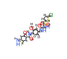 CNc1cc2c(cc1F)C(=O)N(c1cc(C)c(NC(=O)NS(=O)(=O)c3ccc(Cl)s3)c(C)c1OC)CO2